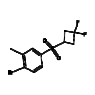 Cc1cc(S(=O)(=O)C2CC(F)(F)C2)ccc1Br